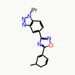 CC1C=C(c2nc(-c3ccc4c(c3)nnn4C(C)C)no2)C=CC1